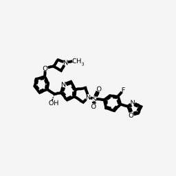 CN1CC(Oc2cccc([C@@H](O)c3cc4c(cn3)CN(S(=O)(=O)c3ccc(-c5ncco5)c(F)c3)C4)c2)C1